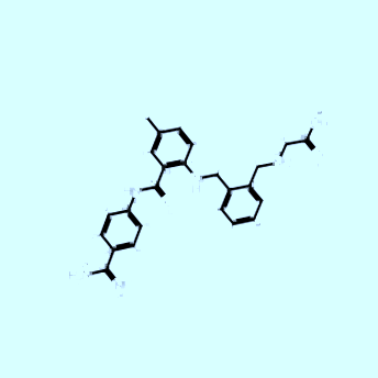 Cc1ccc(NCc2ccccc2CNCC(=O)O)c(C(=O)Nc2ccc(C(=N)N)cc2)c1